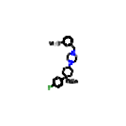 COc1cccc(CN2CCN(C3CCC(OC)(c4ccc(F)cc4)CC3)CC2)c1